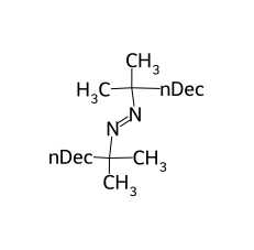 CCCCCCCCCCC(C)(C)N=NC(C)(C)CCCCCCCCCC